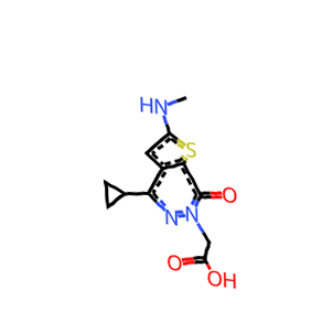 CNc1cc2c(C3CC3)nn(CC(=O)O)c(=O)c2s1